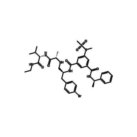 CCNC(=O)[C@@H](NC(=O)[C@H](C)NC[C@H](Cc1ccc(Br)cc1)NC(=O)c1cc(C(=O)N[C@H](C)c2ccccc2)cc(N(C)S(C)(=O)=O)c1)C(C)C